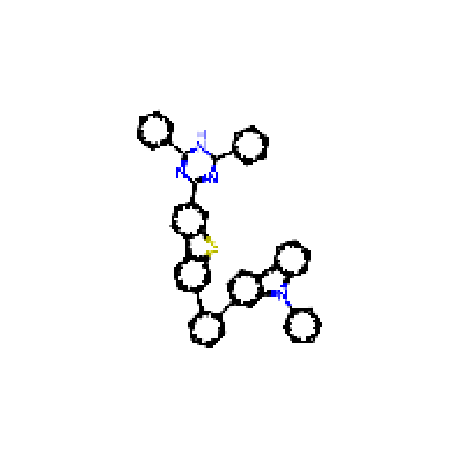 c1ccc(C2=NC(c3ccc4c(c3)sc3cc(-c5ccccc5-c5ccc6c7ccccc7n(-c7ccccc7)c6c5)ccc34)=NC(c3ccccc3)N2)cc1